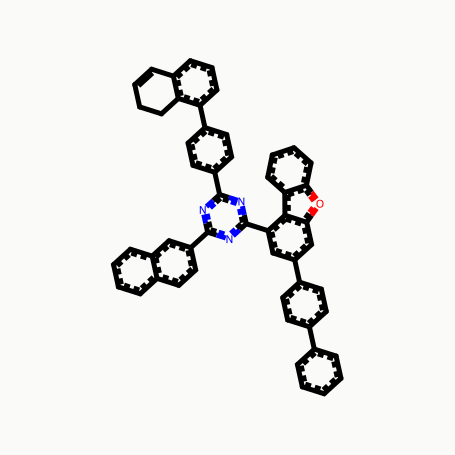 C1=Cc2cccc(-c3ccc(-c4nc(-c5ccc6ccccc6c5)nc(-c5cc(-c6ccc(-c7ccccc7)cc6)cc6oc7ccccc7c56)n4)cc3)c2CC1